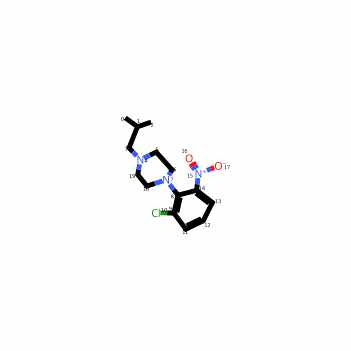 C[C](C)CN1CCN(c2c(Cl)cccc2[N+](=O)[O-])CC1